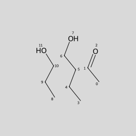 CC=O.CCCCO.CCCO